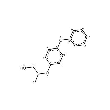 CC(CO)Oc1ccc(Oc2ccccc2)cc1